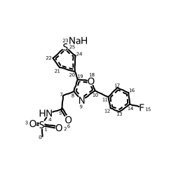 CS(=O)(=O)NC(=O)Cc1nc(-c2ccc(F)cc2)oc1-c1ccsc1.[NaH]